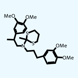 COc1ccc(CCCN(CC(C)c2ccc(OC)c(OC)c2)C2(C)SCCCS2)cc1OC